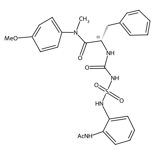 COc1ccc(N(C)C(=O)[C@H](Cc2ccccc2)NC(=O)NS(=O)(=O)Nc2ccccc2NC(C)=O)cc1